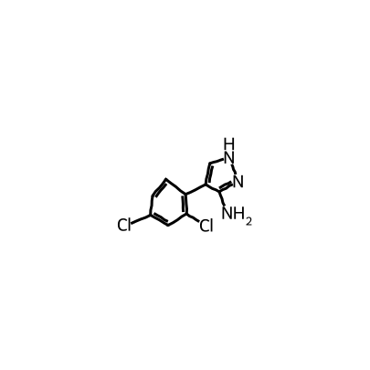 Nc1n[nH]cc1-c1ccc(Cl)cc1Cl